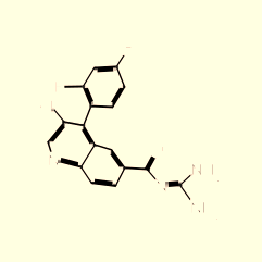 NC(N)=NC(=O)c1ccc2ncc(Cl)c(-c3ccc(F)cc3F)c2c1